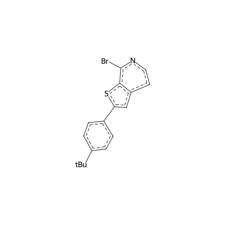 CC(C)(C)c1ccc(-c2cc3ccnc(Br)c3s2)cc1